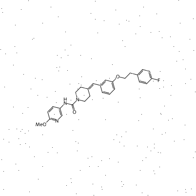 COc1ccc(NC(=O)N2CCC(=Cc3cccc(OCCc4ccc(F)cc4)c3)CC2)cn1